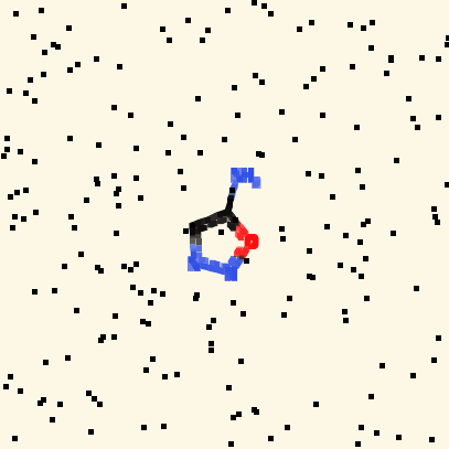 Nc1cnno1